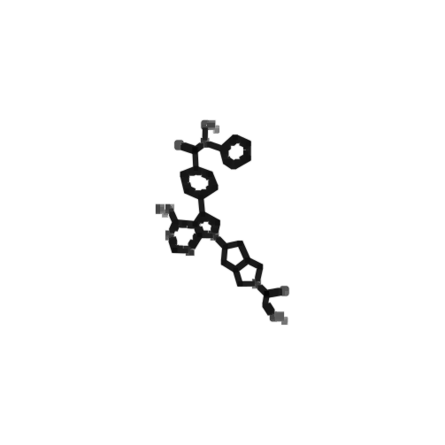 C=CC(=O)N1CC2CC(n3cc(-c4ccc(C(=O)N(C)c5ccccc5)cc4)c4c(N)ncnc43)CC2C1